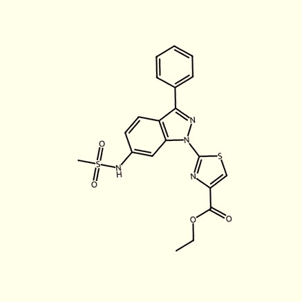 CCOC(=O)c1csc(-n2nc(-c3ccccc3)c3ccc(NS(C)(=O)=O)cc32)n1